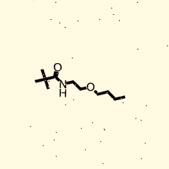 CCCCOCCNC(=O)C(C)(C)C